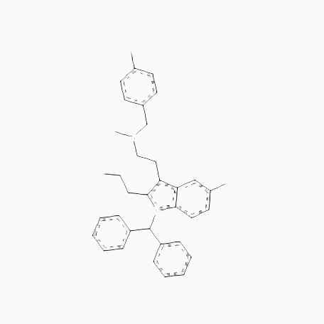 CN(CCc1c(CCO)n(C(c2ccccc2)c2ccccc2)c2ccc(Cl)cc12)Cc1ccc(C(=O)O)cc1